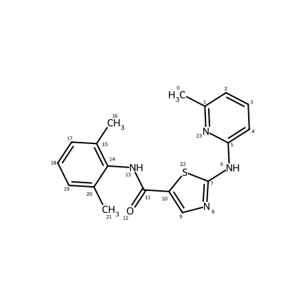 Cc1cccc(Nc2ncc(C(=O)Nc3c(C)cccc3C)s2)n1